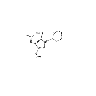 Cc1ccc2c(c1)c(CO)nn2C1CCCCO1